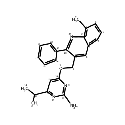 Cc1cccc2cc(COc3cc(C(C)C)nc(N)n3)c(-c3ccccc3)nc12